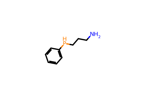 NCCCPc1ccccc1